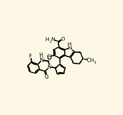 C[C@H]1CCc2c([nH]c3c(C(N)=O)cc(Cl)c(C4=CC=CC4n4c(=O)[nH]c5c(F)cccc5c4=O)c23)C1